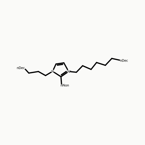 CCCCCCCCCCCCCCCC[n+]1ccn(CCCCCCCCCCCCC)c1CCCCCCCCC